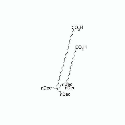 CCCCCCCCCCCCC(CCCCCCCCCCCC)(CCCCCCCCCCCC)CCCCCCCCCCCCCCCCCCCCCCCCCCC(=O)O.CCCCCCCCCCCCCCCCCCCCCCCCCCCC(=O)O